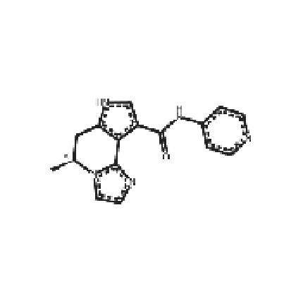 C[C@H]1Cc2[nH]cc(C(=O)Nc3ccncc3)c2-c2nccn21